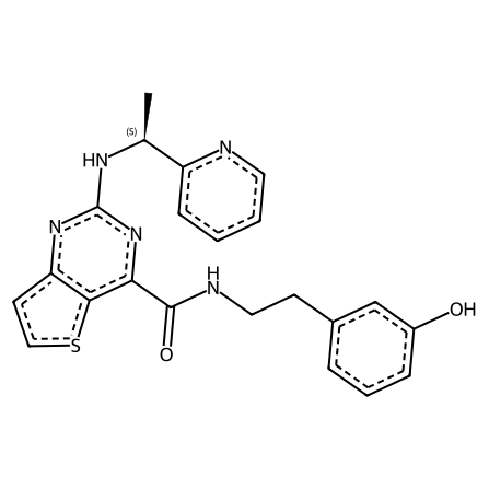 C[C@H](Nc1nc(C(=O)NCCc2cccc(O)c2)c2sccc2n1)c1ccccn1